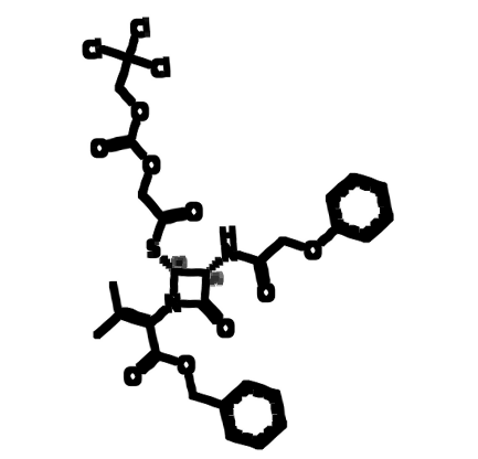 CC(C)=C(C(=O)OCc1ccccc1)N1C(=O)[C@@H](NC(=O)COc2ccccc2)[C@H]1SC(=O)COC(=O)OCC(Cl)(Cl)Cl